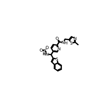 Cc1ncc(CNC(=O)c2ccc(C(N[SH](=O)=O)c3cc4ccccc4s3)cn2)s1